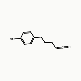 CC(C)(C)c1ccc(CCCN=C=O)cc1